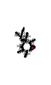 CCCC(C)(C)OC(=O)CCC(=O)N[C@@H](CCNC(=O)OC(C)(C)C)C(=O)N[C@H](C(=O)N[C@@H](CCNC(=O)OC(C)(C)C)C(=O)N[C@H]1CCNC(=O)[C@H](C(C)O)NC(=O)[C@H](CCNC(=O)OC(C)(C)C)NC(=O)[C@H](CCNC(=O)OC(C)(C)C)NC(=O)[C@H](CC(C)C)NC(=O)[C@@H](Cc2ccccc2)NC(=O)[C@H](CCNC(=O)OC(C)(C)C)NC1)C(C)O